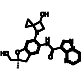 C[C@@]1(CO)Cc2cc(NC(=O)c3cnn4cccnc34)c(N3CC(O)C34CC4)cc2O1